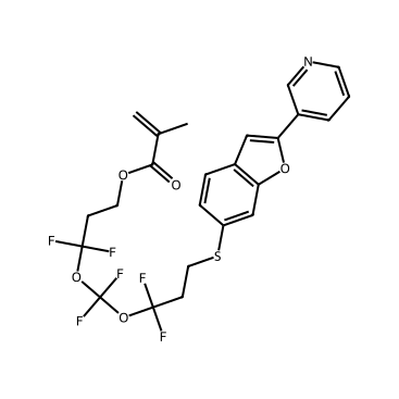 C=C(C)C(=O)OCCC(F)(F)OC(F)(F)OC(F)(F)CCSc1ccc2cc(-c3cccnc3)oc2c1